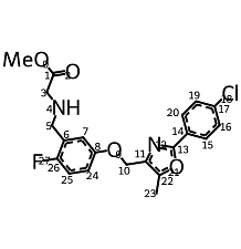 COC(=O)CNCc1cc(OCc2nc(-c3ccc(Cl)cc3)oc2C)ccc1F